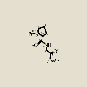 COC(=O)CNC(=O)[C@H]1CCC[C@H]1C(C)C